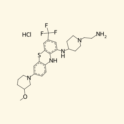 COC1CCCN(c2ccc3c(c2)Sc2cc(C(F)(F)F)cc(NC4CCN(CCN)CC4)c2N3)C1.Cl